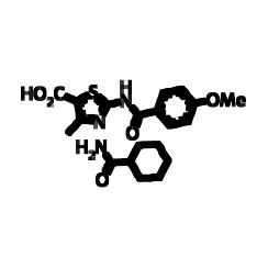 COc1ccc(C(=O)Nc2nc(C)c(C(=O)O)s2)cc1.NC(=O)C1CCCCC1